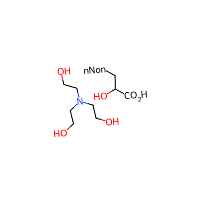 CCCCCCCCCCC(O)C(=O)O.OCCN(CCO)CCO